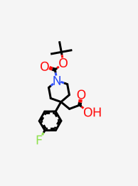 CC(C)(C)OC(=O)N1CCC(CC(=O)O)(c2ccc(F)cc2)CC1